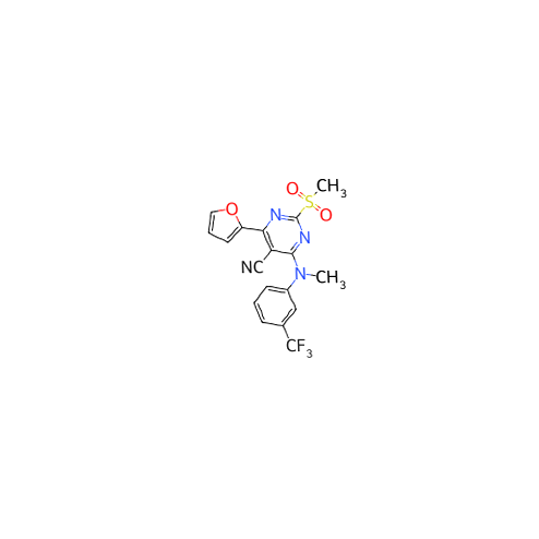 CN(c1cccc(C(F)(F)F)c1)c1nc(S(C)(=O)=O)nc(-c2ccco2)c1C#N